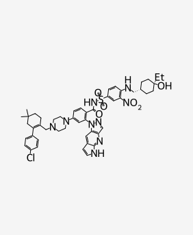 CC[C@]1(O)CC[C@H](CNc2ccc(S(=O)(=O)NC(=O)c3ccc(N4CCN(CC5=C(c6ccc(Cl)cc6)CC(C)(C)CC5)CC4)cc3-n3ncc4nc5[nH]ccc5cc43)cc2[N+](=O)[O-])CC1